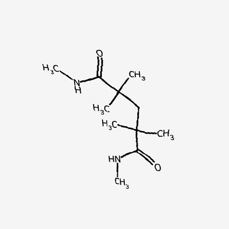 CNC(=O)C(C)(C)CC(C)(C)C(=O)NC